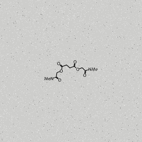 CNC(=O)COC(=O)CCC(=O)OCC(=O)NC